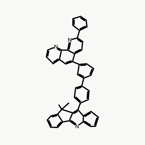 CC1(C)c2ccccc2-c2nc3ccccc3c(-c3ccc(-c4cccc(-c5cc6cccnc6c6nc(-c7ccccc7)ccc56)c4)cc3)c21